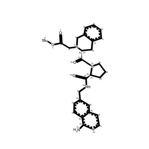 CC(C)(C)OC(=O)CN1Cc2ccccc2C[C@@H]1C(=O)N1CCC[C@H]1C(=O)NCc1ccc2c(N)nccc2c1